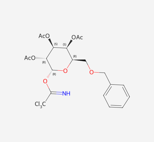 CC(=O)O[C@H]1[C@@H](OC(C)=O)[C@@H](COCc2ccccc2)O[C@H](OC(=N)C(Cl)(Cl)Cl)[C@@H]1OC(C)=O